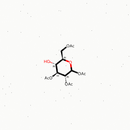 CC(=O)OC[C@H]1OC(OC(C)=O)[C@H](OC(C)=O)[C@@H](OC(C)=O)[C@@H]1O